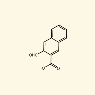 [O]C(=O)c1cc2ccccc2cc1[C]=O